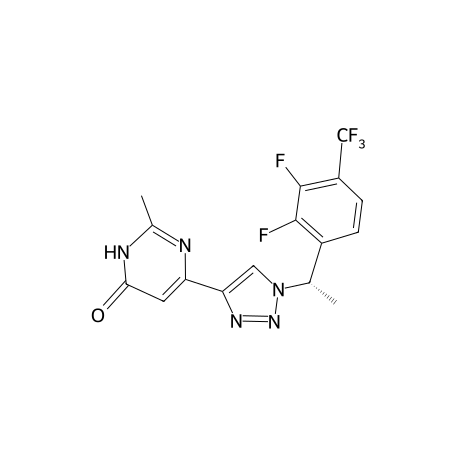 Cc1nc(-c2cn([C@@H](C)c3ccc(C(F)(F)F)c(F)c3F)nn2)cc(=O)[nH]1